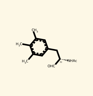 CC(=O)N[C@H](C=O)Cc1cc(C)c(C)c(C)c1